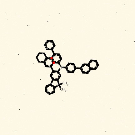 CC1(C)c2ccccc2-c2cc(-c3ccc4c(c3)CCCC4)c(N(c3ccc(-c4ccccc4)cc3)c3ccc(-c4ccc5ccccc5c4)cc3)cc21